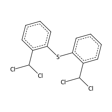 ClC(Cl)c1ccccc1Sc1ccccc1C(Cl)Cl